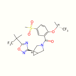 C[C@@H](Oc1ccc(S(C)(=O)=O)cc1C(=O)N1CC2C[C@]2(c2noc(C(C)(C)C(F)(F)F)n2)C1)C(F)(F)F